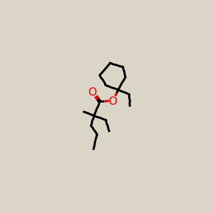 CCCC(C)(CC)C(=O)OC1(CC)CCCCC1